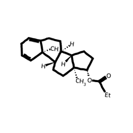 CCC(=O)O[C@H]1CC[C@H]2[C@@H]3CCC4=CCC=C[C@]4(C)[C@H]3CC[C@]12C